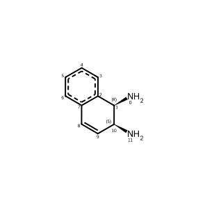 N[C@@H]1c2ccccc2C=C[C@@H]1N